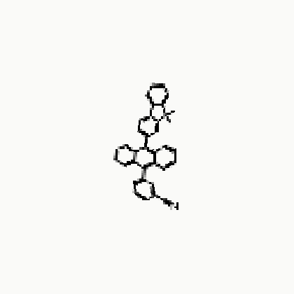 CC1(C)c2ccccc2-c2ccc(-c3c4ccccc4c(-c4cccc(C#N)c4)c4ccccc34)cc21